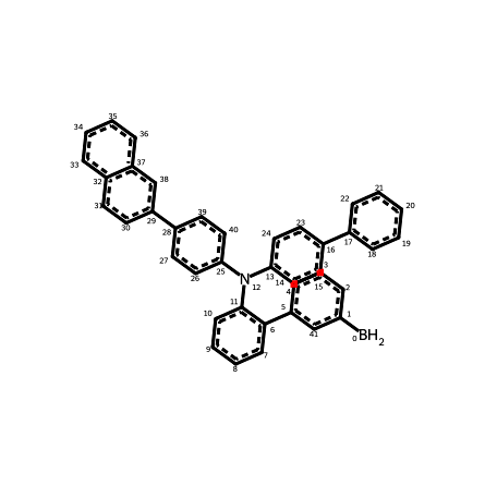 Bc1cccc(-c2ccccc2N(c2ccc(-c3ccccc3)cc2)c2ccc(-c3ccc4ccccc4c3)cc2)c1